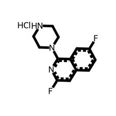 Cl.Fc1ccc2cc(F)nc(N3CCNCC3)c2c1